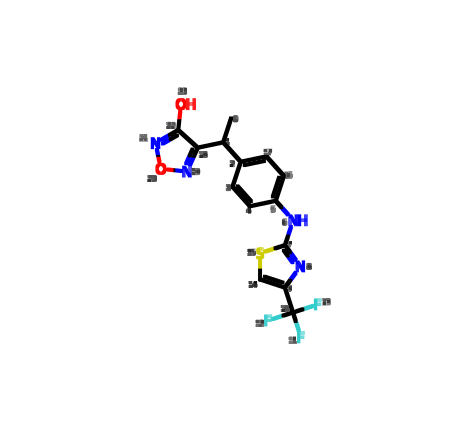 CC(c1ccc(Nc2nc(C(F)(F)F)cs2)cc1)c1nonc1O